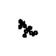 CC1(C)c2ccccc2-c2cc(-c3c4ccccc4c(-c4ccc(-c5nc6ccccc6n5-c5ccccc5)cc4)c4ccc(-c5ccccc5)cc34)ccc21